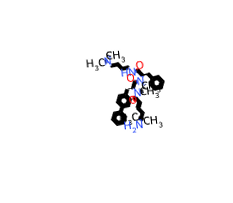 CN(C)CCCCNC(=O)[C@@H](Cc1ccccc1)N(C)C(=O)[C@@H](Cc1ccc(-c2ccccc2)cc1)N(C)C(=O)C=CCC(C)(C)N